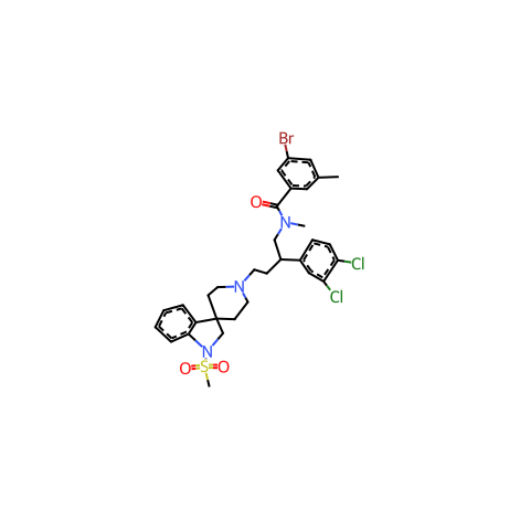 Cc1cc(Br)cc(C(=O)N(C)CC(CCN2CCC3(CC2)CN(S(C)(=O)=O)c2ccccc23)c2ccc(Cl)c(Cl)c2)c1